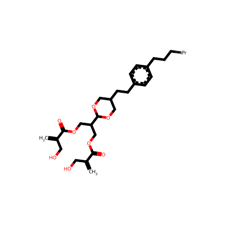 C=C(CO)C(=O)OCC(COC(=O)C(=C)CO)C1OCC(CCc2ccc(CCCC(C)C)cc2)CO1